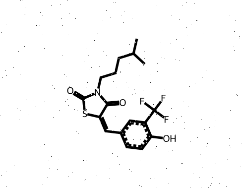 CC(C)CCCN1C(=O)SC(=Cc2ccc(O)c(C(F)(F)F)c2)C1=O